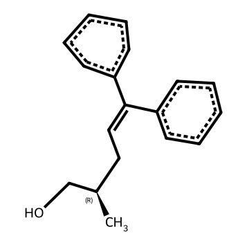 C[C@@H](CO)CC=C(c1ccccc1)c1ccccc1